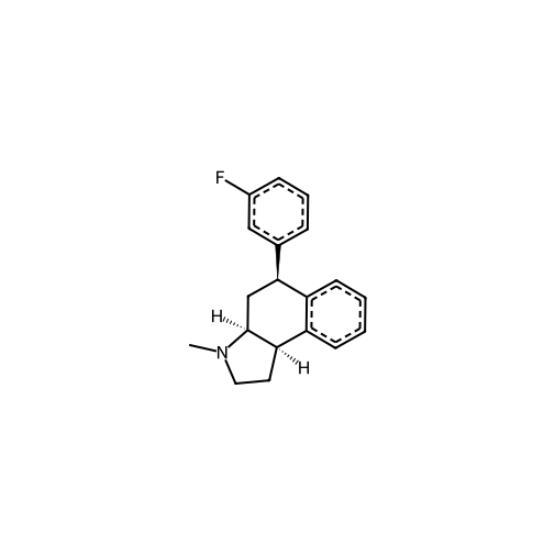 CN1CC[C@@H]2c3ccccc3[C@H](c3cccc(F)c3)C[C@@H]21